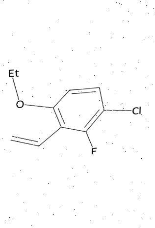 C=Cc1c(OCC)[c]cc(Cl)c1F